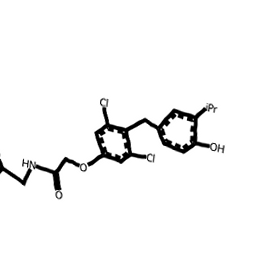 CC(O)CNC(=O)COc1cc(Cl)c(Cc2ccc(O)c(C(C)C)c2)c(Cl)c1